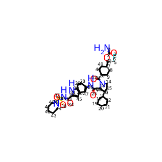 NC(=O)O[C@H](CF)[C@H]1CC[C@H](C(=O)N2CC[C@@H](C3CCCCC3)[C@H]2C(=O)Nc2ccc3[nH]c(C(=O)NS(=O)(=O)N4CCCCC4)cc3c2)CC1